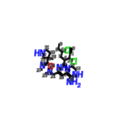 C#CC(Cl)C(CC(Cl)CC)CN1CCNC(N)=C1/C=C(\N)CN(C)O/C(=N\C)[C@@]1(C)CCNC1